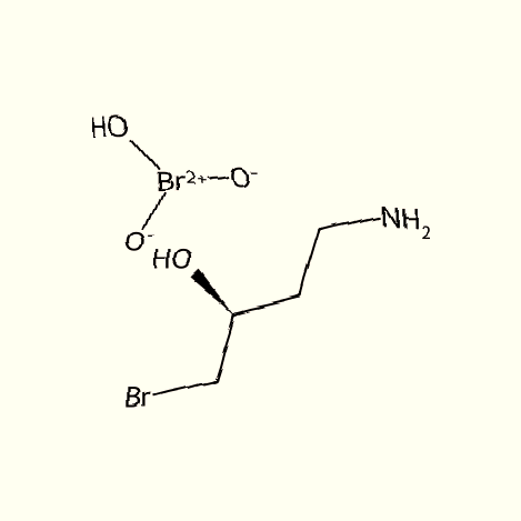 NCC[C@H](O)CBr.[O-][Br+2]([O-])O